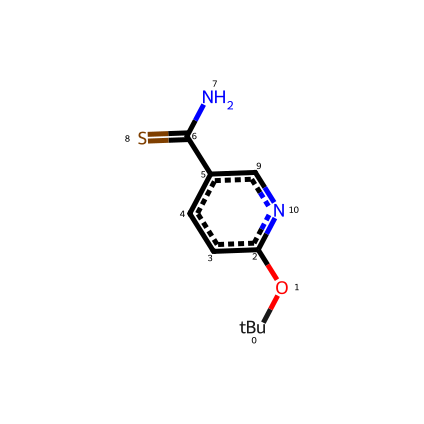 CC(C)(C)Oc1ccc(C(N)=S)cn1